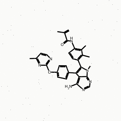 C=C(C)C(=O)Nc1ccc(-c2c(-c3ccc(Oc4nccc(C)n4)cc3)c3c(N)ncnc3n2C)c(C)c1C